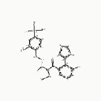 CCN(C(=O)c1cccc(F)c1-n1nccn1)C(C)COc1ncc(C(F)(F)F)cc1Cl